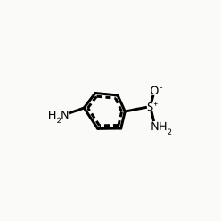 Nc1ccc([S+](N)[O-])cc1